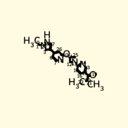 CC[n+]1cc(-c2ccnc(OC3CN(c4ccc(C(=O)C(C)C)cn4)C3)c2)c[nH]1